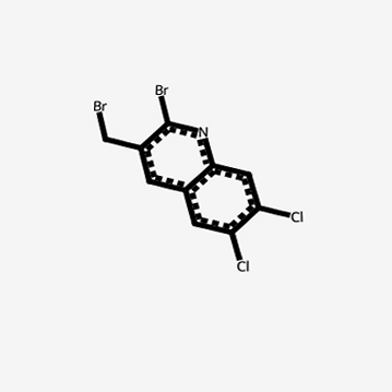 Clc1cc2cc(CBr)c(Br)nc2cc1Cl